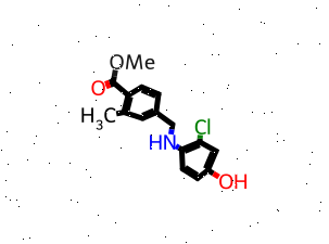 COC(=O)c1ccc(CNc2ccc(O)cc2Cl)cc1C